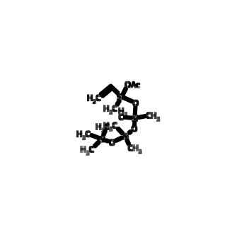 C=C[Si](C)(OC(C)=O)O[Si](C)(C)O[Si](C)(C)O[Si](C)(C)C